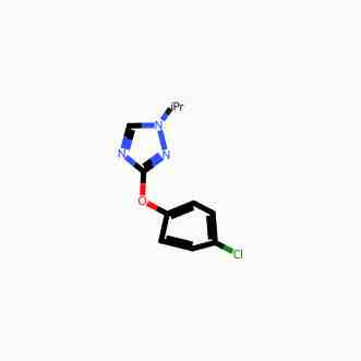 CC(C)n1cnc(Oc2ccc(Cl)cc2)n1